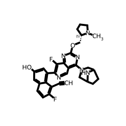 C#Cc1c(F)ccc2cc(O)cc(-c3ncc4c(N5CC6CCC(C5)N6)nc(OC[C@@H]5CCCN5C)nc4c3F)c12